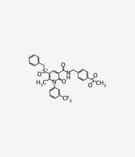 Cc1c([S+]([O-])Cc2ccccc2)cc(C(=O)NCc2ccc(S(C)(=O)=O)cc2)c(=O)n1-c1cccc(C(F)(F)F)c1